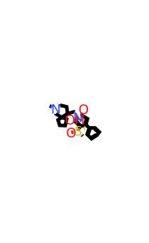 CN1CCC(O)(Cn2cc([S+](C)[O-])c(-c3ccccc3)cc2=O)C2(CCCC2)C1